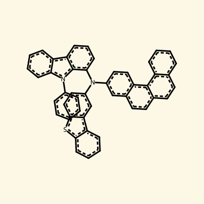 c1ccc(-n2c3ccccc3c3cccc(N(c4ccc5c(ccc6ccc7ccccc7c65)c4)c4ccc5sc6ccccc6c5c4)c32)cc1